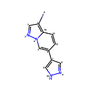 Ic1cnn2cc(-c3cn[nH]c3)ccc12